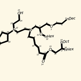 CCCCCCCCCCCCOCC(CN(CCCCCC(=O)OCC(CCCCCC)CCCCCCCC)CCN(CCO)C1CCCC1)OCCCCCC